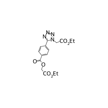 CCOC(=O)COC(=O)c1ccc(-c2nnnn2CC(=O)OCC)cc1